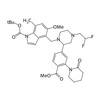 COC(=O)c1ccc(C2CN(CC(F)F)CCN2Cc2c(OC)cc(C)c3c2ccn3C(=O)OC(C)(C)C)cc1N1CCCCC1=O